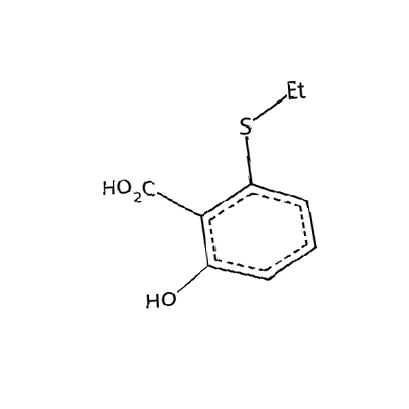 CCSc1cccc(O)c1C(=O)O